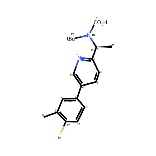 Cc1cc(-c2ccc([C@H](C)N(C(=O)O)C(C)(C)C)nc2)ccc1F